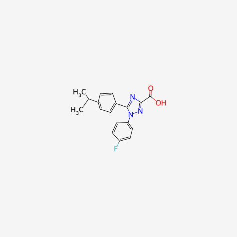 CC(C)c1ccc(-c2nc(C(=O)O)nn2-c2ccc(F)cc2)cc1